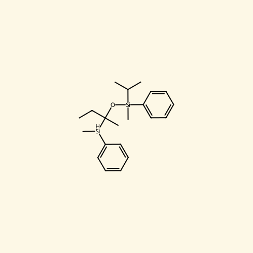 CCC(C)(O[Si](C)(c1ccccc1)C(C)C)[SiH](C)c1ccccc1